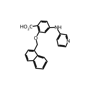 O=C(O)c1ccc(Nc2cccnc2)cc1OCc1cccc2ccccc12